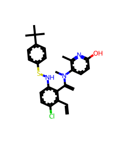 C=Cc1c(Cl)ccc(NSc2ccc(C(C)(C)C)cc2)c1C(=C)N(C)c1ccc(O)nc1C